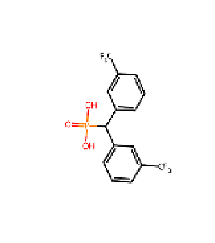 O=P(O)(O)C(c1cccc(C(F)(F)F)c1)c1cccc(C(F)(F)F)c1